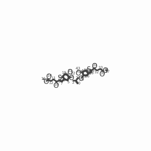 C=C(COc1cc2cc(C(=O)CCC(=O)OC)sc2cc1OC)COc1cc2cc(C(=O)CCC(=O)OC)sc2cc1OC